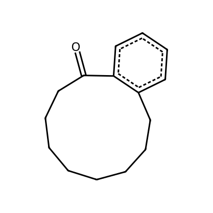 O=C1CCCCCCCCc2ccccc21